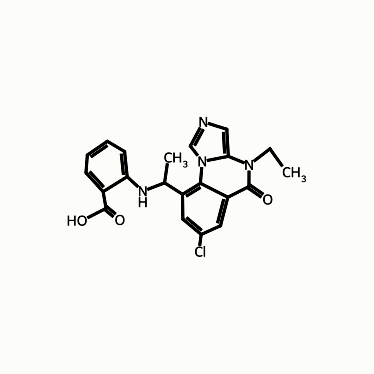 CCn1c(=O)c2cc(Cl)cc(C(C)Nc3ccccc3C(=O)O)c2n2cncc12